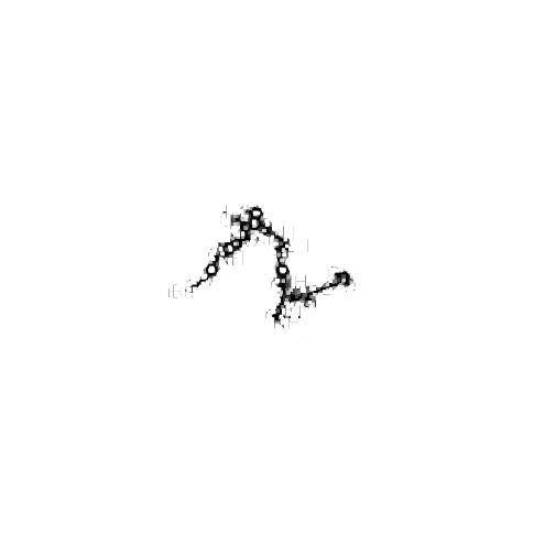 CCC(C)OCCOc1ccc(C(=O)Nc2cc3cc(C(=O)N4C[C@@H](CCl)c5c4cc(OC(=O)NCCN(C)C(=O)OCc4ccc(NC(=O)[C@H](CCCNC(N)=O)NC(=O)[C@@H](NC(=O)OCCOCCN6C(=O)C=CC6=O)C(C)C)cc4)c4cccc(C)c54)[nH]c3cn2)cc1